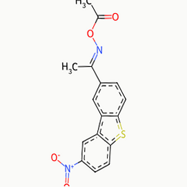 CC(=O)O/N=C(\C)c1ccc2sc3ccc([N+](=O)[O-])cc3c2c1